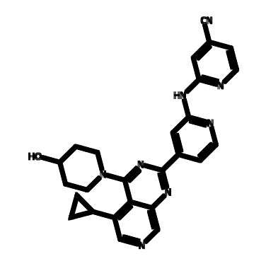 N#Cc1ccnc(Nc2cc(-c3nc(N4CCC(O)CC4)c4c(C5CC5)cncc4n3)ccn2)c1